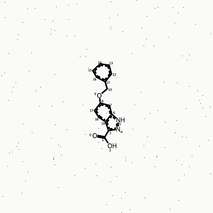 O=C(O)c1n[nH]c2cc(OCc3ccccc3)ccc12